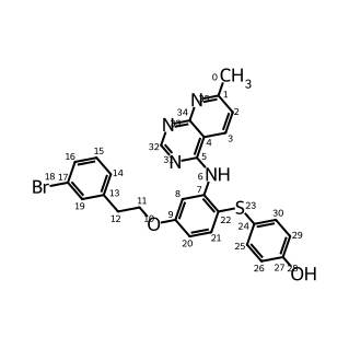 Cc1ccc2c(Nc3cc(OCCc4cccc(Br)c4)ccc3Sc3ccc(O)cc3)ncnc2n1